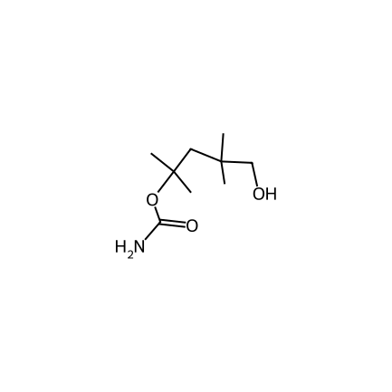 CC(C)(CO)CC(C)(C)OC(N)=O